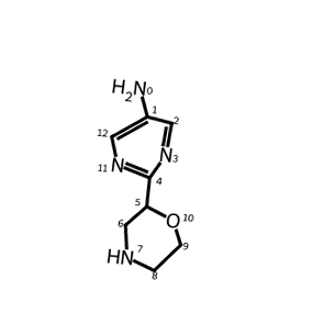 Nc1cnc(C2CNCCO2)nc1